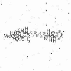 COC(=O)C(=O)N1C(C)(C)CC(NC(=O)CCCCCCCC(=O)NNC(=O)NC2CCCCC2)CC1(C)C